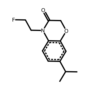 CC(C)c1ccc2c(c1)OCC(=O)N2CCF